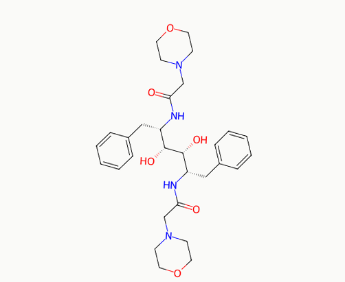 O=C(CN1CCOCC1)N[C@@H](Cc1ccccc1)[C@@H](O)[C@H](O)[C@H](Cc1ccccc1)NC(=O)CN1CCOCC1